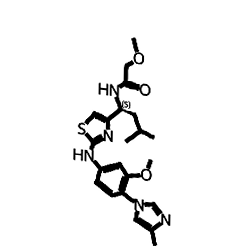 COCC(=O)N[C@@H](CC(C)C)c1csc(Nc2ccc(-n3cnc(C)c3)c(OC)c2)n1